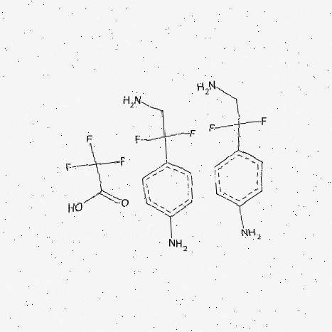 NCC(F)(F)c1ccc(N)cc1.NCC(F)(F)c1ccc(N)cc1.O=C(O)C(F)(F)F